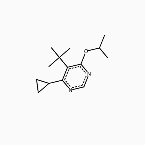 CC(C)Oc1ncnc(C2CC2)c1C(C)(C)C